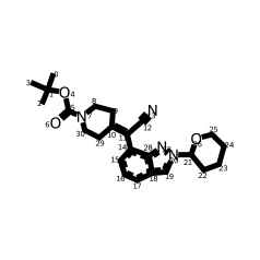 CC(C)(C)OC(=O)N1CCC(=C(C#N)c2cccc3cn(C4CCCCO4)nc23)CC1